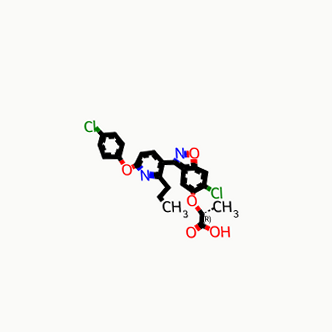 CCCc1nc(Oc2ccc(Cl)cc2)ccc1-c1noc2cc(Cl)c(O[C@H](C)C(=O)O)cc12